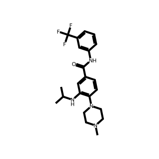 CC(C)Nc1cc(C(=O)Nc2cccc(C(F)(F)F)c2)ccc1N1CCN(C)CC1